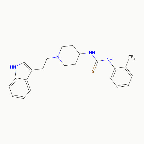 FC(F)(F)c1ccccc1NC(=S)NC1CCN(CCc2c[nH]c3ccccc23)CC1